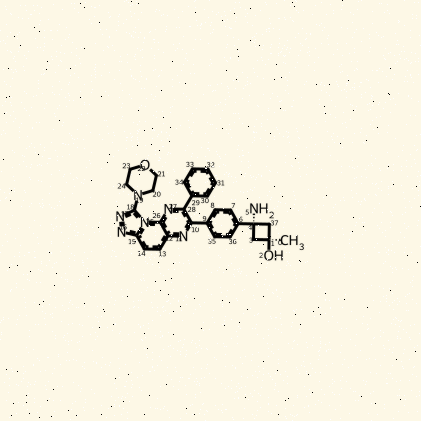 C[C@]1(O)C[C@@](N)(c2ccc(-c3nc4ccc5nnc(N6CCOCC6)n5c4nc3-c3ccccc3)cc2)C1